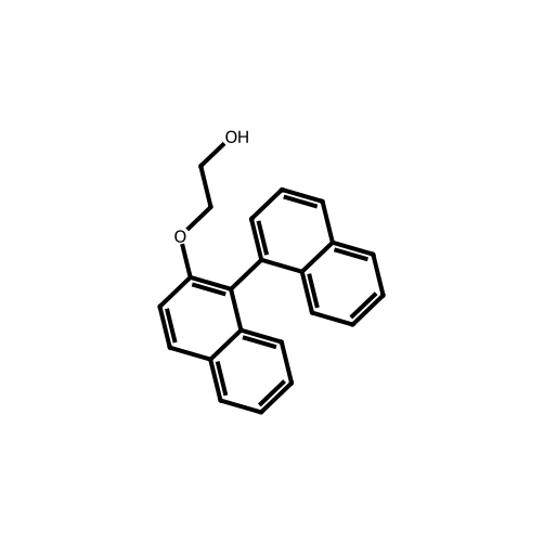 OCCOc1ccc2ccccc2c1-c1cccc2ccccc12